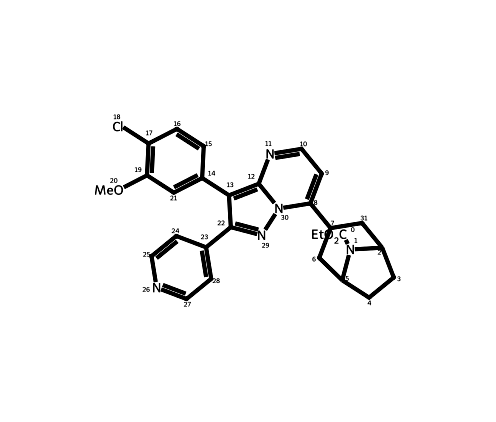 CCOC(=O)N1C2CCC1CC(c1ccnc3c(-c4ccc(Cl)c(OC)c4)c(-c4ccncc4)nn13)C2